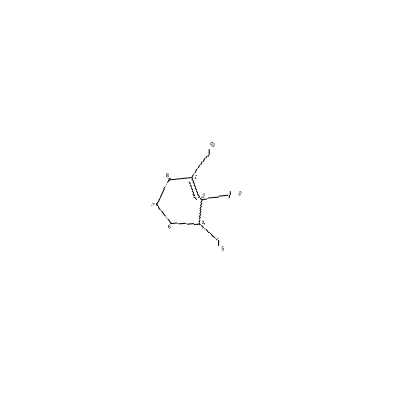 IC1=C(I)C(I)CCC1